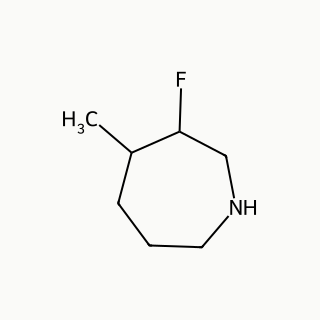 CC1CCCNCC1F